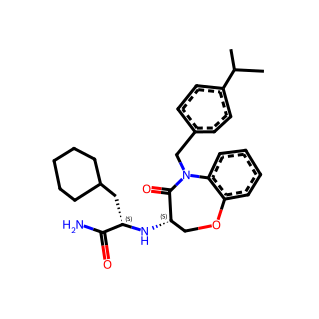 CC(C)c1ccc(CN2C(=O)[C@@H](N[C@@H](CC3CCCCC3)C(N)=O)COc3ccccc32)cc1